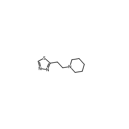 c1nnc(CCN2CCCCC2)s1